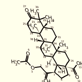 C=C(COC(C)=O)[C@@H]1CC[C@]2(C(=O)O)CC[C@]3(C)[C@H](CC[C@@H]4[C@@]5(C)CCC(=O)C(C)(C)[C@@H]5CC[C@]43C)[C@@H]12